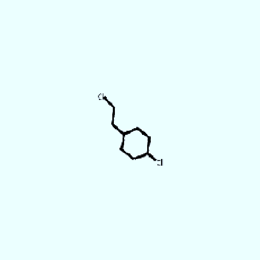 ClCCC1CCC(Cl)CC1